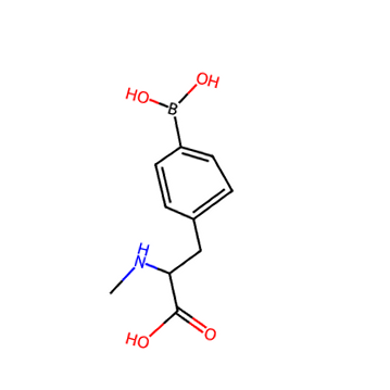 CNC(Cc1ccc(B(O)O)cc1)C(=O)O